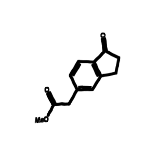 COC(=O)Cc1ccc2c(c1)CCC2=O